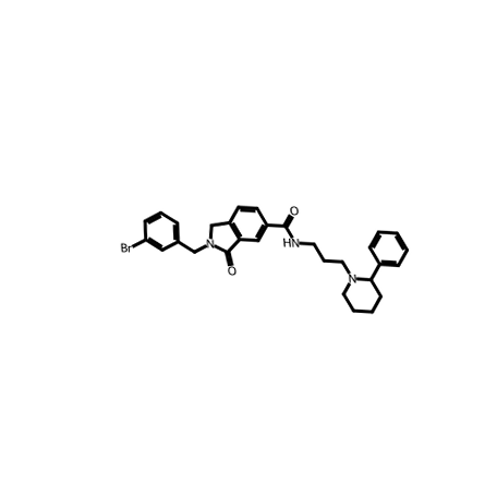 O=C(NCCCN1CCCCC1c1ccccc1)c1ccc2c(c1)C(=O)N(Cc1cccc(Br)c1)C2